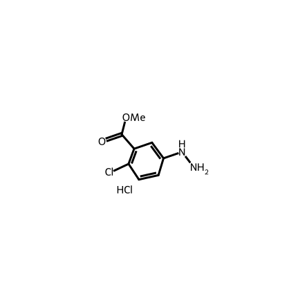 COC(=O)c1cc(NN)ccc1Cl.Cl